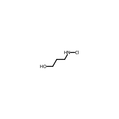 OCCCNCl